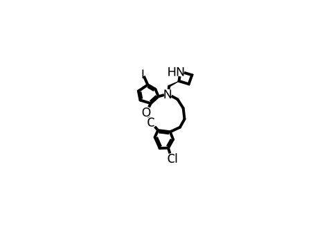 Clc1ccc2c(c1)CCCCN(C[C@@H]1CCN1)c1cc(I)ccc1OC2